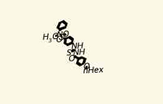 CCCCCCOc1ccc(C(=O)NC(=S)Nc2ccc(S(=O)(=O)N(C)c3ccccc3)cc2)cc1